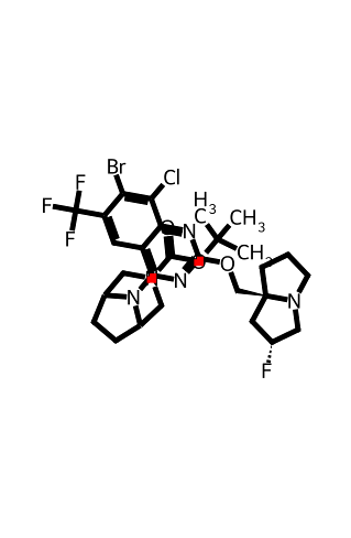 CC(C)(C)OC(=O)N1CC2CCC(C1)N2c1nc(OC[C@@]23CCCN2C[C@H](F)C3)nc2c(Cl)c(Br)c(C(F)(F)F)cc12